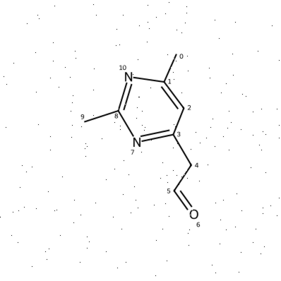 Cc1cc(CC=O)nc(C)n1